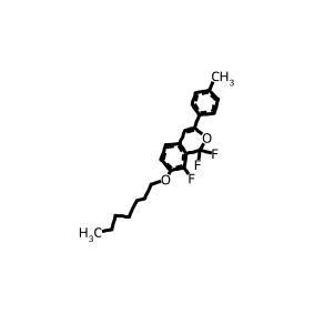 CCCCCCCOc1ccc2c(c1F)C(F)(F)OC(c1ccc(C)cc1)=C2